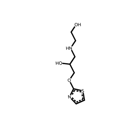 OCCNCC(O)COc1nccs1